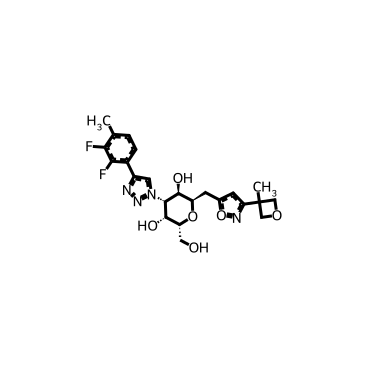 Cc1ccc(-c2cn([C@H]3[C@@H](O)[C@@H](CO)O[C@H](Cc4cc(C5(C)COC5)no4)[C@@H]3O)nn2)c(F)c1F